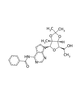 CC(O)[C@H]1O[C@@H](n2ccc3c(NC(=O)c4ccccc4)ncnc32)[C@]2(C)OC(C)(C)O[C@H]12